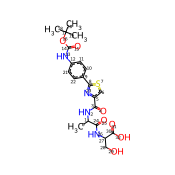 CC(NC(=O)c1csc(-c2ccc(NC(=O)OC(C)(C)C)cc2)n1)C(=O)NC(CO)C(=O)O